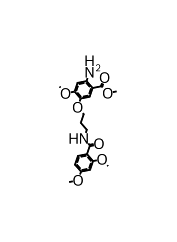 COC(=O)c1cc(OCCCNC(=O)c2ccc(OC)cc2OC)c(OC)cc1N